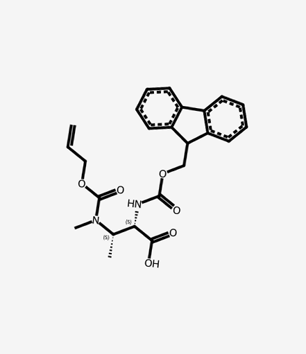 C=CCOC(=O)N(C)[C@@H](C)[C@H](NC(=O)OCC1c2ccccc2-c2ccccc21)C(=O)O